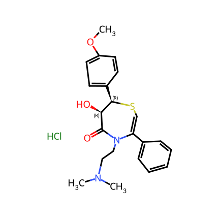 COc1ccc([C@H]2SC=C(c3ccccc3)N(CCN(C)C)C(=O)[C@H]2O)cc1.Cl